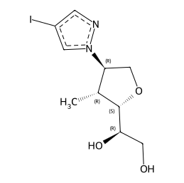 C[C@H]1[C@@H]([C@H](O)CO)OC[C@@H]1n1cc(I)cn1